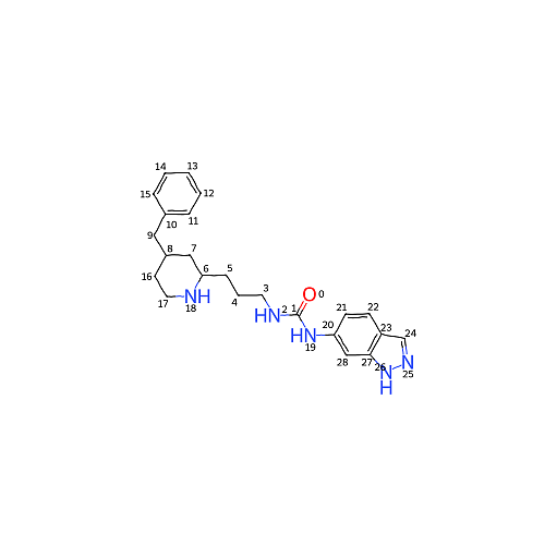 O=C(NCCCC1CC(Cc2ccccc2)CCN1)Nc1ccc2cn[nH]c2c1